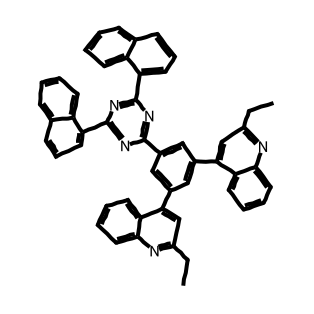 CCc1cc(-c2cc(-c3nc(-c4cccc5ccccc45)nc(-c4cccc5ccccc45)n3)cc(-c3cc(CC)nc4ccccc34)c2)c2ccccc2n1